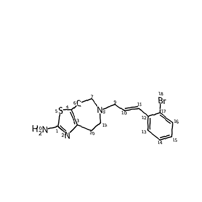 Nc1nc2c(s1)CCN(CC=Cc1ccccc1Br)CC2